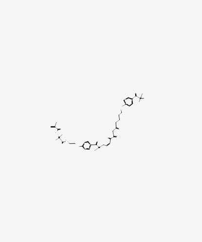 C=C(C)C(=O)NC(C)(C)C(=O)NCCOc1ccc(C(=O)C(C)(O)C/C=C\C(=O)C(=N)CC(=O)CCCCOc2ccc(C(=O)C(C)(C)O)cc2)cc1